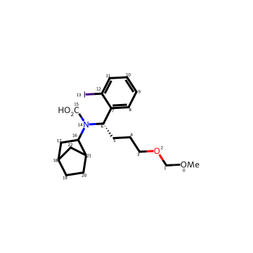 COCOCCC[C@@H](c1ccccc1I)N(C(=O)O)C1CC2CCC1C2